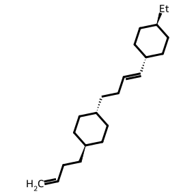 C=CCC[C@H]1CC[C@H](CCC=C[C@H]2CC[C@H](CC)CC2)CC1